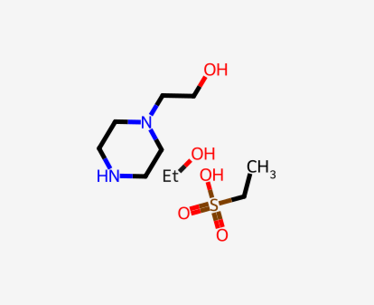 CCO.CCS(=O)(=O)O.OCCN1CCNCC1